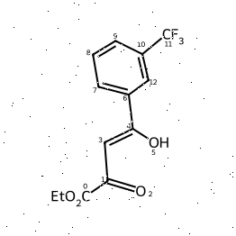 CCOC(=O)C(=O)C=C(O)c1cccc(C(F)(F)F)c1